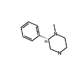 CN1CC[N]C[C@@H]1c1ccccc1